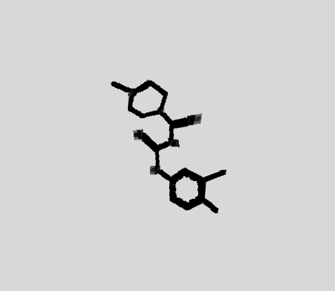 Cc1ccc(NC(=N)NC(=N)N2CCN(C)CC2)cc1C